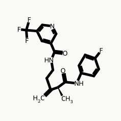 C=C(CCNC(=O)c1cncc(C(F)(F)F)c1)[C@H](C)C(=O)Nc1ccc(F)cc1